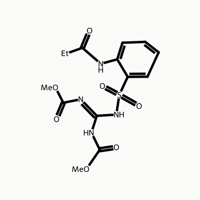 CCC(=O)Nc1ccccc1S(=O)(=O)NC(=NC(=O)OC)NC(=O)OC